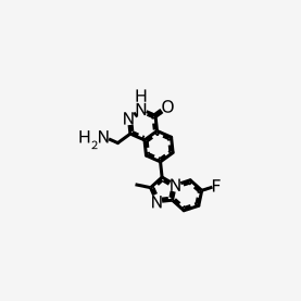 Cc1nc2ccc(F)cn2c1-c1ccc2c(=O)[nH]nc(CN)c2c1